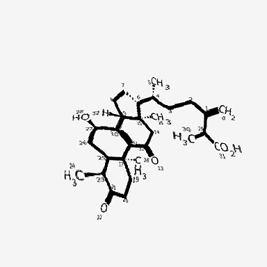 C=C(CC[C@@H](C)[C@H]1CC[C@H]2C3=C(C(=O)C[C@]12C)[C@@]1(C)CCC(=O)[C@@H](C)C1C[C@H]3O)C(C)C(=O)O